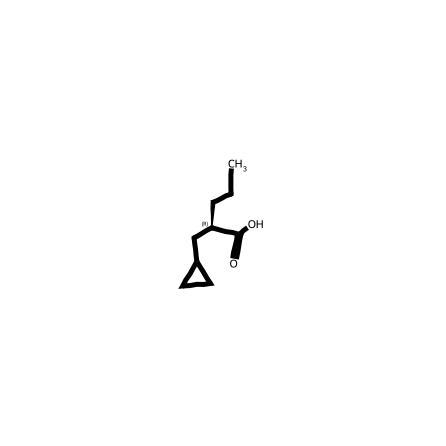 CCC[C@H](CC1CC1)C(=O)O